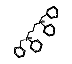 c1ccc(C[P@](CCC[P@@](Cc2ccccc2)c2ccccc2)c2ccccc2)cc1